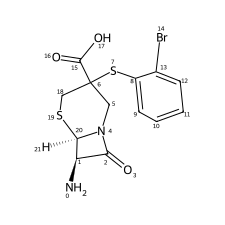 N[C@@H]1C(=O)N2CC(Sc3ccccc3Br)(C(=O)O)CS[C@H]12